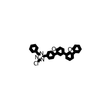 Clc1nc(-c2ccccc2)nc(-c2ccc3c(c2)oc2ccc(-c4cccc5c4oc4ccccc45)cc23)n1